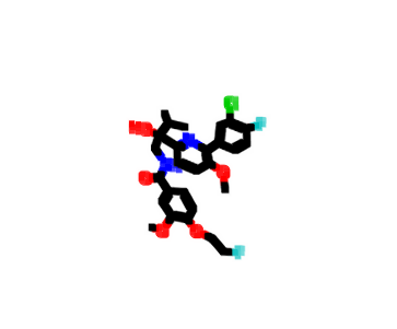 COc1cc(C(=O)NCC(O)(c2ccc(OC)c(-c3ccc(F)c(Cl)c3)n2)C(C)C)ccc1OCCF